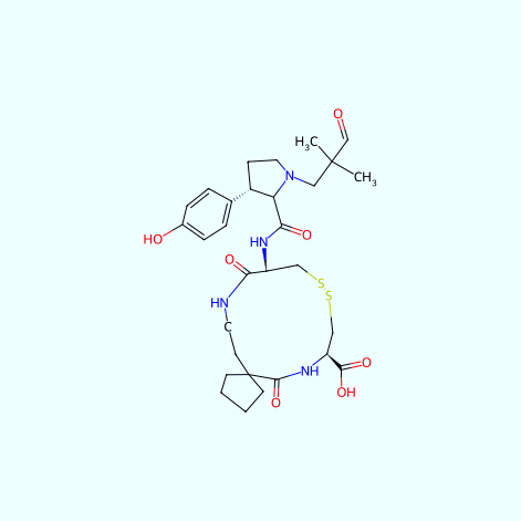 CC(C)(C=O)CN1CC[C@@H](c2ccc(O)cc2)C1C(=O)N[C@H]1CSSC[C@@H](C(=O)O)NC(=O)C2(CCCC2)CCNC1=O